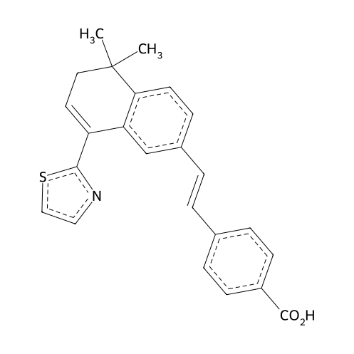 CC1(C)CC=C(c2nccs2)c2cc(C=Cc3ccc(C(=O)O)cc3)ccc21